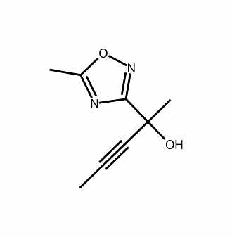 CC#CC(C)(O)c1noc(C)n1